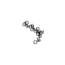 CS(=O)(=O)C1CCN(C[C@@H]2CCCN2C(=O)CN2CCC[C@H](NS(=O)(=O)c3ccc(-c4ccc(Cl)s4)s3)C2=O)C1